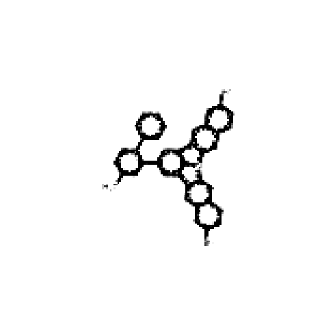 Cc1ccc(-c2ccccc2)c(-c2cc3c4cc5cc(C(C)C)ccc5cc4n4c5cc6ccc(C(C)C)cc6cc5c(c2)c34)c1